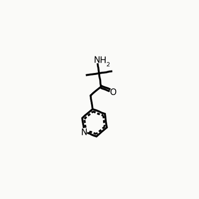 CC(C)(N)C(=O)Cc1cccnc1